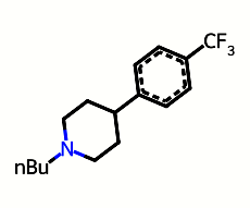 CCCCN1CCC(c2ccc(C(F)(F)F)cc2)CC1